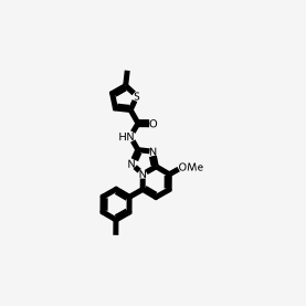 COc1ccc(-c2cccc(C)c2)n2nc(NC(=O)c3ccc(C)s3)nc12